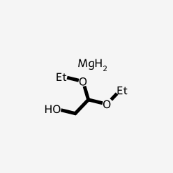 CCOC(CO)OCC.[MgH2]